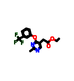 CCOC(=O)Cc1cnc(C)nc1Oc1cccc(C(F)(F)F)c1